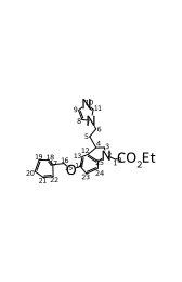 CCOC(=O)CN1CC(CCn2ccnc2)c2cc(OCc3ccccc3)ccc21